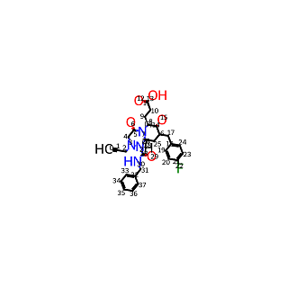 C#CCN1CC(=O)N2[C@@H](CCC(=O)O)C(=O)C(Cc3ccc(F)cc3)C[C@@H]2N1C(=O)NCc1ccccc1